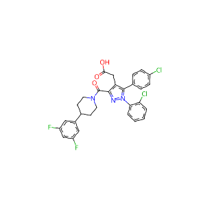 O=C(O)Cc1c(C(=O)N2CCC(c3cc(F)cc(F)c3)CC2)nn(-c2ccccc2Cl)c1-c1ccc(Cl)cc1